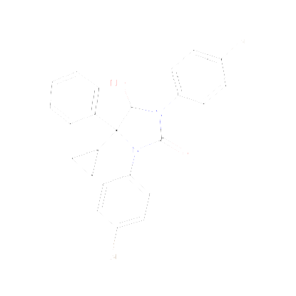 O=C1N(c2ccc(Br)cc2)C(O)C(c2ccccc2)(C2CC2)N1c1ccc(Br)cc1